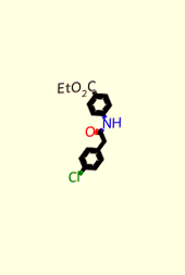 CCOC(=O)c1ccc(NC(=O)Cc2ccc(Cl)cc2)cc1